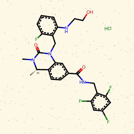 C[C@H]1c2ccc(C(=O)NCc3c(F)cc(F)cc3F)cc2N(Cc2c(F)cccc2NCCO)C(=O)N1C.Cl